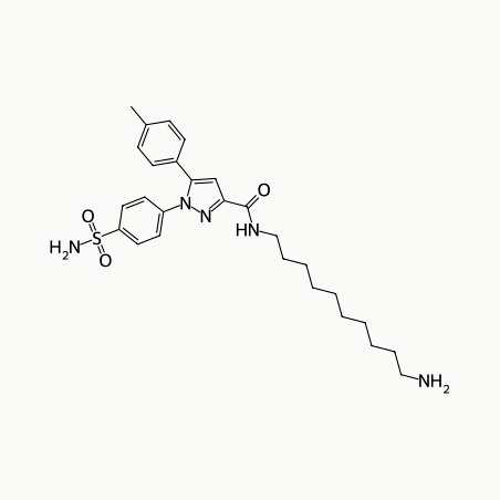 Cc1ccc(-c2cc(C(=O)NCCCCCCCCCCN)nn2-c2ccc(S(N)(=O)=O)cc2)cc1